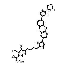 COC(=O)N[C@H](C(=O)NCCCCc1ncc(-c2ccc3c(c2)Oc2ccc(-c4cnc([C@@H]5CCCN5)[nH]4)cc2O3)[nH]1)C(C)C